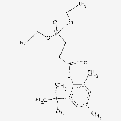 CCOP(=O)(CCC(=O)Oc1c(C)cc(C)cc1C(C)(C)C)OCC